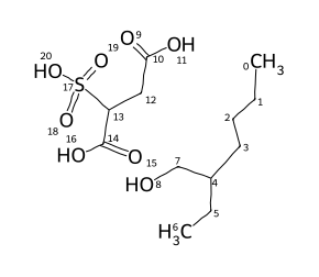 CCCCC(CC)CO.O=C(O)CC(C(=O)O)S(=O)(=O)O